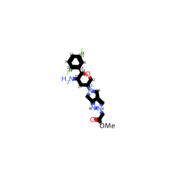 COC(=O)Cn1cc2c(n1)CN(C1CO[C@H](c3cc(F)ccc3F)C(N)C1)C2